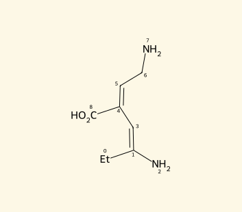 CC/C(N)=C\C(=C/CN)C(=O)O